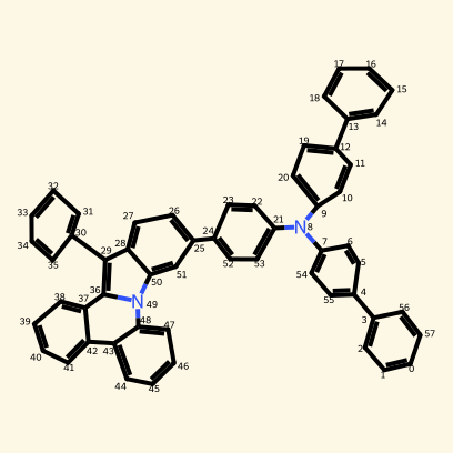 c1ccc(-c2ccc(N(c3ccc(-c4ccccc4)cc3)c3ccc(-c4ccc5c(-c6ccccc6)c6c7ccccc7c7ccccc7n6c5c4)cc3)cc2)cc1